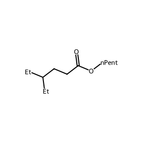 CCCCCOC(=O)CCC(CC)CC